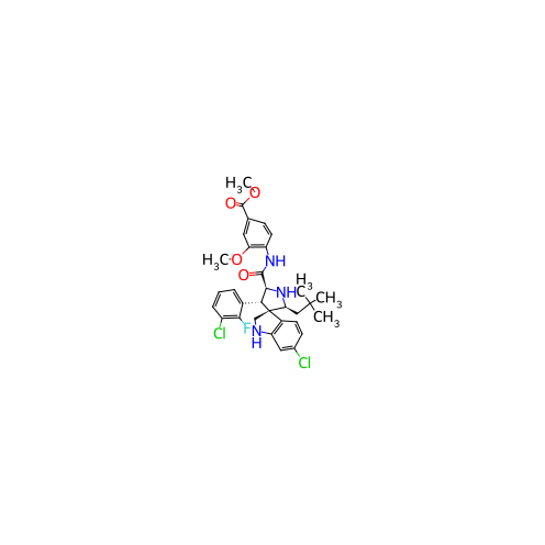 COC(=O)c1ccc(NC(=O)[C@H]2N[C@@H](CC(C)(C)C)[C@@]3(CNc4cc(Cl)ccc43)[C@@H]2c2cccc(Cl)c2F)c(OC)c1